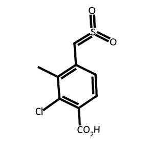 Cc1c(C=S(=O)=O)ccc(C(=O)O)c1Cl